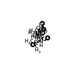 Cc1cccc(C)c1OCC(=O)N[C@@H](Cc1ccccc1)[C@@H](O)C[C@@H](Cc1ccc(-c2ccccn2)cc1)NC(=O)[C@@H](N(C)C(=O)O)C(C)(C)C